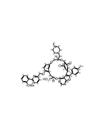 COc1ccccc1-c1nccc(COc2ccc3cc2C[C@H](C(=O)O)Oc2ncnc4oc(-c5ccc(F)cc5)c(c24)-c2cc(Cl)c(c(Cl)c2)O[C@H](CN2CCN(C)CC2)CO3)n1